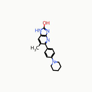 Cc1cc2[nH]c(O)nc2nc1-c1ccc(N2CCCCC2)cc1